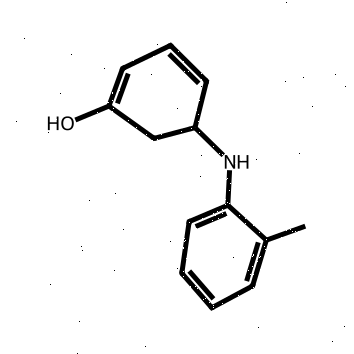 Cc1ccccc1N[C]1C=CC=C(O)C1